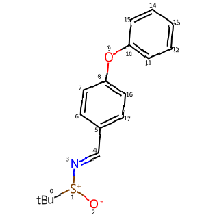 CC(C)(C)[S+]([O-])N=Cc1ccc(Oc2ccccc2)cc1